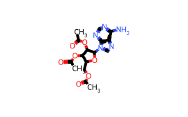 CC(=O)OCC1OC(n2cnc3c(N)ncnc32)C(OC(C)=O)C1OC(C)=O